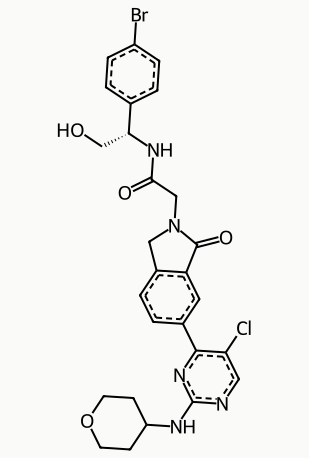 O=C(CN1Cc2ccc(-c3nc(NC4CCOCC4)ncc3Cl)cc2C1=O)N[C@H](CO)c1ccc(Br)cc1